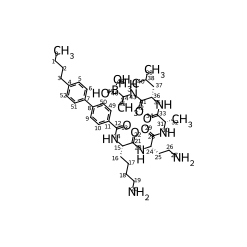 CCCCc1ccc(-c2ccc(C(=O)N[C@@H](CCCCN)C(=O)N[C@@H](CCN)C(=O)N[C@@H](C)C(=O)N[C@@H](CC(C)C)C(=O)N[C@@H](C)B(O)O)cc2)cc1